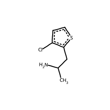 CC(N)Cc1sccc1Cl